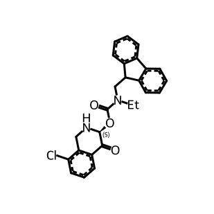 CCN(CC1c2ccccc2-c2ccccc21)C(=O)O[C@@H]1NCc2c(Cl)cccc2C1=O